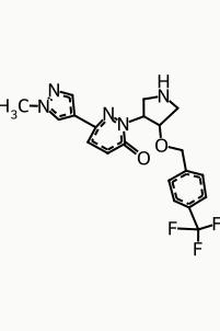 Cn1cc(-c2ccc(=O)n(C3CNCC3OCc3ccc(C(F)(F)F)cc3)n2)cn1